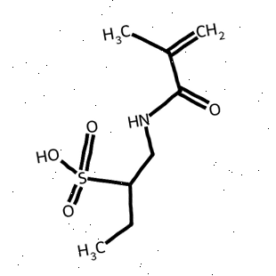 C=C(C)C(=O)NCC(CC)S(=O)(=O)O